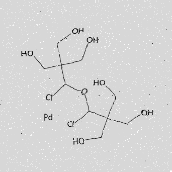 OCC(CO)(CO)C(Cl)OC(Cl)C(CO)(CO)CO.[Pd]